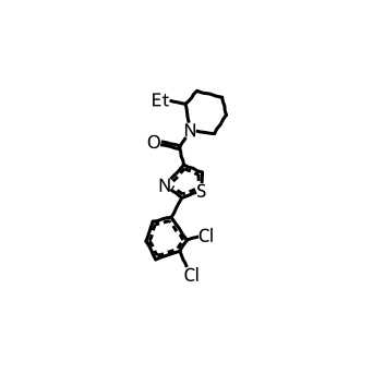 CCC1CCCCN1C(=O)c1csc(-c2cccc(Cl)c2Cl)n1